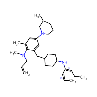 C=CCN(C)c1c(C)cc(N2CCCC(C)C2)cc1CC1CCC(NC(/C=C\C)=C/CC)CC1